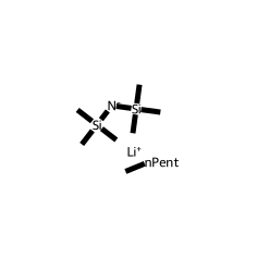 CCCCCC.C[Si](C)(C)[N-][Si](C)(C)C.[Li+]